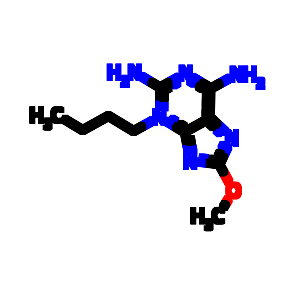 CCCCn1c(N)nc(N)c2nc(OC)nc1-2